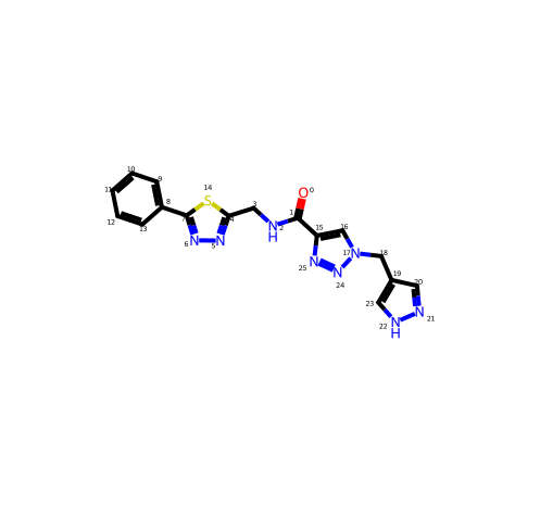 O=C(NCc1nnc(-c2ccccc2)s1)c1cn(Cc2cn[nH]c2)nn1